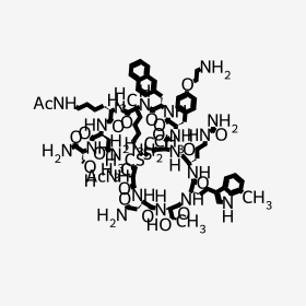 CC(=O)NCCCC[C@H](NC(=O)[C@](C)(CCCCN)NC(=O)[C@H](Cc1ccc2ccccc2c1)NC(=O)[C@H](Cc1ccc(OCCN)cc1)NC(=O)[C@H]1NC(=O)[C@H](CCCNC(N)=O)NC(=O)[C@H](CCc2c[nH]c3c(C)cccc23)NC(=O)[C@H]([C@@H](C)O)NC(=O)[C@H](CC(N)=O)NC(=O)[C@@H](NC(C)=O)C(C)(C)SSC1(C)C)C(=O)N[C@@H](CC(N)=O)C(=O)N[C@H](CO)C(N)=O